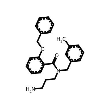 Cc1cccc(CN(CCCN)C(=O)c2ccccc2OCc2ccccc2)c1